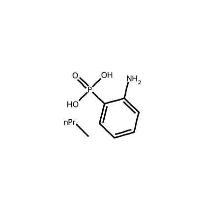 CCCC.Nc1ccccc1P(=O)(O)O